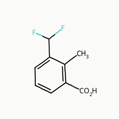 Cc1c(C(=O)O)cccc1C(F)F